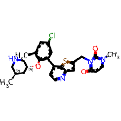 Cc1cc(Cl)cc(-c2ccnc3cc(Cn4c(=O)ccn(C)c4=O)sc23)c1O[C@H]1CNC[C@H](C)C1